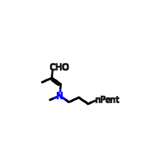 CCCCCCCCN(C)C=C(C)C=O